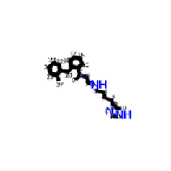 C/C(=C\CNCCCCc1c[nH]cn1)c1ccccc1Cc1ccccc1C